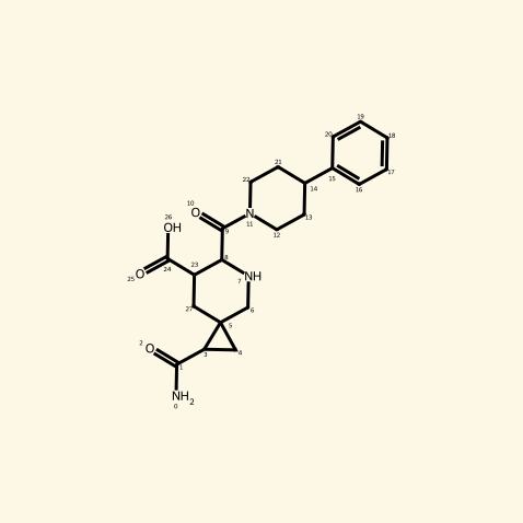 NC(=O)C1CC12CNC(C(=O)N1CCC(c3ccccc3)CC1)C(C(=O)O)C2